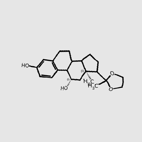 CC1(C2CCC3C4CCc5cc(O)ccc5C4[C@@H](O)C[C@@]32C)OCCO1